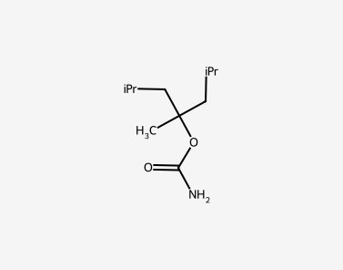 CC(C)CC(C)(CC(C)C)OC(N)=O